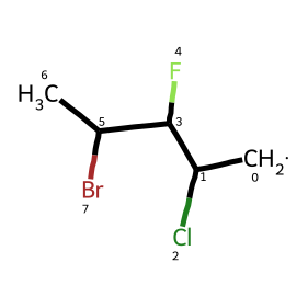 [CH2]C(Cl)C(F)C(C)Br